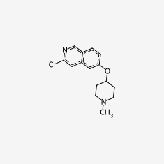 CN1CCC(Oc2ccc3cnc(Cl)cc3c2)CC1